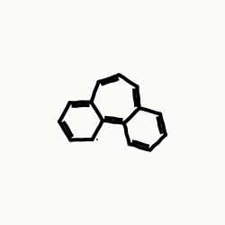 [CH]1C=CC=C2C=CC=c3ccccc3=C12